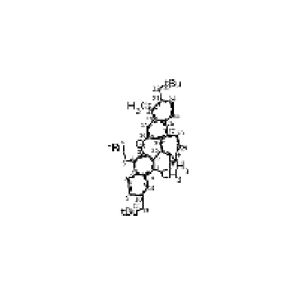 Cc1c2c(c(CC(C)(C)C)c3ccc(CC(C)(C)C)cc13)Oc1cc3c(C)c(CC(C)(C)C)ccc3c3cc[n+](C)c-2c13